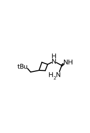 CC(C)(C)CC1CC(NC(=N)N)C1